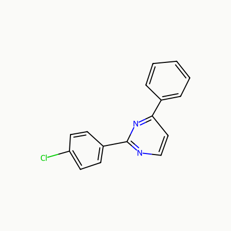 Clc1ccc(-c2nccc(-c3ccccc3)n2)cc1